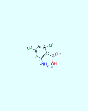 Nc1cc(Cl)cc(Cl)c1C(=O)O